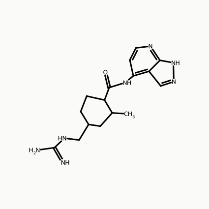 CC1CC(CNC(=N)N)CCC1C(=O)Nc1ccnc2[nH]ncc12